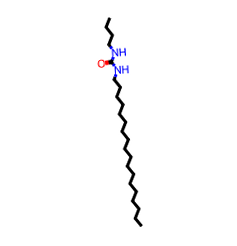 CCCCCCCCCCCCCCCCCCNC(=O)NCCCC